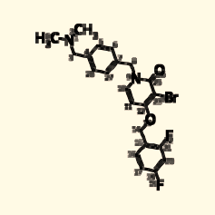 CN(C)Cc1ccc(Cn2ccc(OCc3ccc(F)cc3F)c(Br)c2=O)cc1